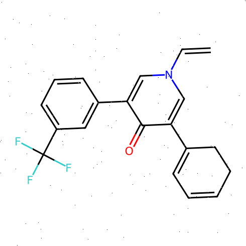 C=Cn1cc(C2=CC=CCC2)c(=O)c(-c2cccc(C(F)(F)F)c2)c1